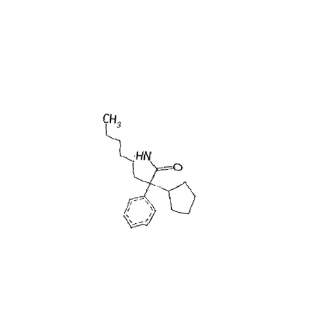 CCCCCCC(C([NH])=O)(c1ccccc1)C1CCCC1